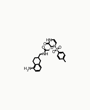 Cc1ccc(S(=O)(=O)N2C=CNC(=O)[C@H]2CC(=O)NCC2CCc3c(N)cccc3C2)cc1